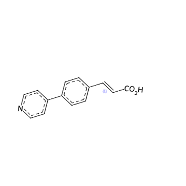 O=C(O)/C=C/c1ccc(-c2ccncc2)cc1